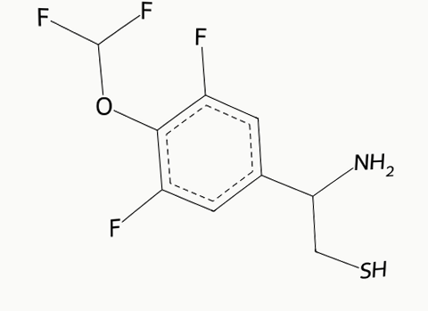 NC(CS)c1cc(F)c(OC(F)F)c(F)c1